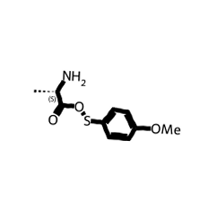 COc1ccc(SOC(=O)[C@H](C)N)cc1